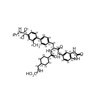 Cc1cc(S(=O)(=O)NC(C)C)ccc1-c1ccc(C[C@H](NC(=O)C2CCC(CNC(=O)O)CC2)C(=O)Nc2ccc3[nH]c(=O)[nH]c3c2)cc1